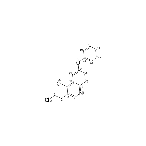 ClCCc1cnc2ccc(Oc3ccccc3)cc2c1Cl